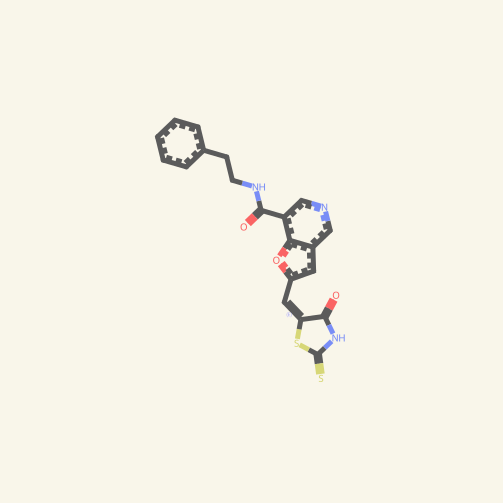 O=C1NC(=S)S/C1=C/c1cc2cncc(C(=O)NCCc3ccccc3)c2o1